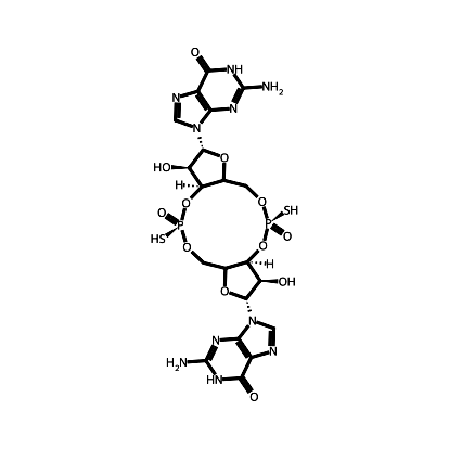 Nc1nc2c(ncn2[C@@H]2OC3CO[P@@](=O)(S)O[C@@H]4C(CO[P@@](=O)(S)O[C@H]3[C@H]2O)O[C@@H](n2cnc3c(=O)[nH]c(N)nc32)[C@@H]4O)c(=O)[nH]1